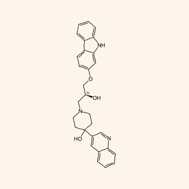 O[C@H](COc1ccc2c(c1)[nH]c1ccccc12)CN1CCC(O)(c2cnc3ccccc3c2)CC1